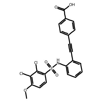 COc1ccc(S(=O)(=O)Nc2ccccc2C#Cc2ccc(C(=O)O)cc2)c(Cl)c1Cl